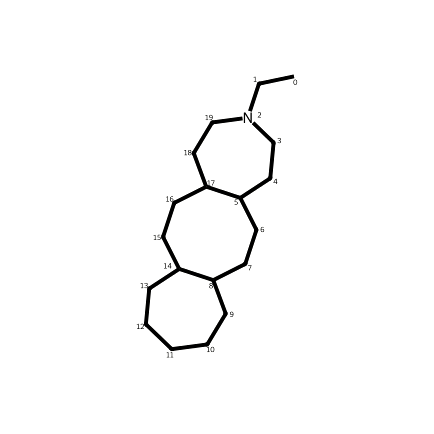 CCN1CCC2CCC3CCCCCC3CCC2CC1